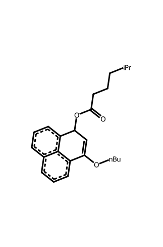 CCCCOC1=CC(OC(=O)CCCC(C)C)c2cccc3cccc1c23